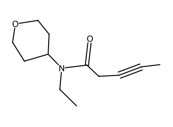 CC#CCC(=O)N(CC)C1CCOCC1